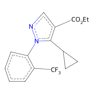 CCOC(=O)c1cnn(-c2ccccc2C(F)(F)F)c1C1CC1